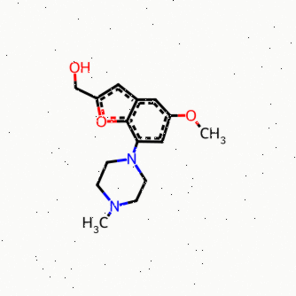 COc1cc(N2CCN(C)CC2)c2oc(CO)cc2c1